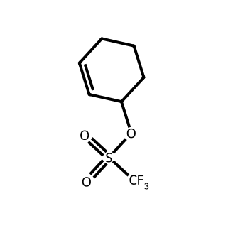 O=S(=O)(OC1C=CCCC1)C(F)(F)F